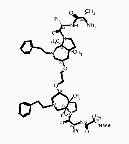 CN[C@@H](C)C(=O)N[C@H](C(=O)N1CC[C@@]2(C)C[C@@H](OCCO[C@H]3CN(CCc4ccccc4)C[C@@]4(C)N(C(=O)[C@@H](NC(=O)[C@H](C)N)C(C)C)CC[C@@]4(C)C3)CN(CCc3ccccc3)C[C@@]12C)C(C)C